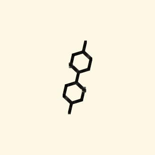 CC1CCC(C2CCC(C)CS2)SC1